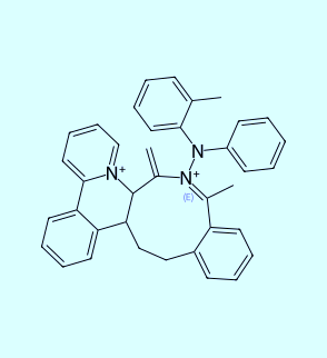 C=C1C2C(CCc3ccccc3/C(C)=[N+]\1N(c1ccccc1)c1ccccc1C)c1ccccc1-c1cccc[n+]12